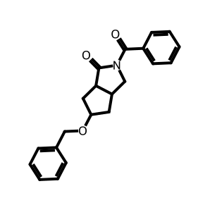 O=C(c1ccccc1)N1CC2CC(OCc3ccccc3)CC2C1=O